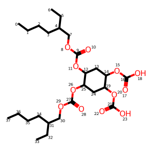 CCCCC(CC)COC(=O)OC1CC(OC(=O)O)C(OC(=O)O)CC1OC(=O)OCC(CC)CCCC